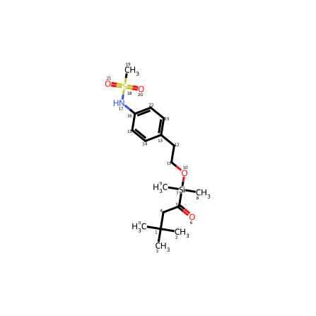 CC(C)(C)CC(=O)[Si](C)(C)OCCc1ccc(NS(C)(=O)=O)cc1